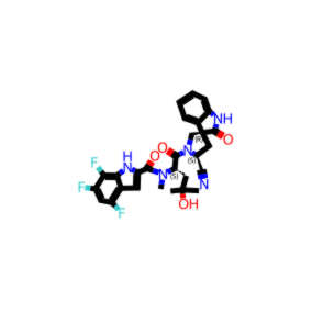 CN(C(=O)c1cc2c(F)cc(F)c(F)c2[nH]1)[C@@H](CC(C)(C)O)C(=O)N1C[C@]2(C[C@H]1C#N)C(=O)Nc1ccccc12